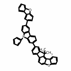 CC1(C)c2cc(-c3ccc4c5cc(-c6ccc7oc8ccccc8c7c6)ccc5n(-c5ccccc5)c4c3)ccc2-c2ccc3sc4ccccc4c3c21